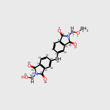 BOBN1C(=O)c2ccc(Bc3ccc4c(c3)C(=O)N(BO)C4=O)cc2C1=O